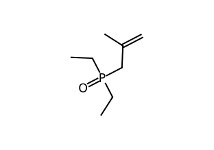 C=C(C)CP(=O)(CC)CC